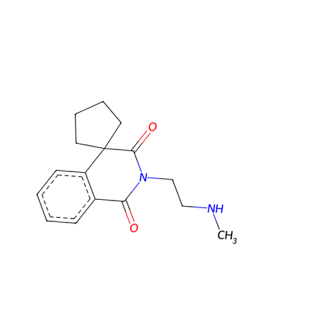 CNCCN1C(=O)c2ccccc2C2(CCCC2)C1=O